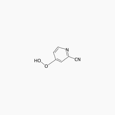 N#Cc1cc(OO)ccn1